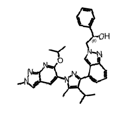 Cc1c(C(C)C)c(-c2cccc3nn(C[C@H](O)c4ccccc4)cc23)nn1-c1cc2cn(C)nc2nc1OC(C)C